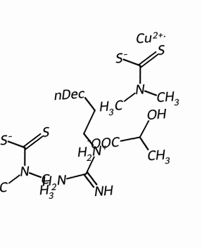 CC(O)C(=O)[O-].CCCCCCCCCCCC[NH2+]C(=N)N.CN(C)C(=S)[S-].CN(C)C(=S)[S-].[Cu+2]